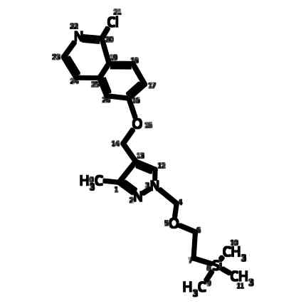 Cc1nn(COCC[Si](C)(C)C)cc1COc1ccc2c(Cl)nccc2c1